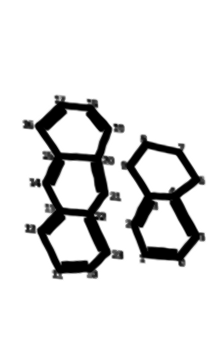 c1ccc2c(c1)CCCC2.c1ccc2cc3ccccc3cc2c1